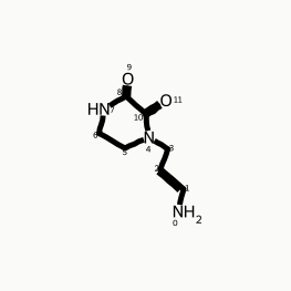 NC=CCN1CCNC(=O)C1=O